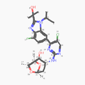 CC(C)n1c(C(C)(C)O)nc2c(F)cc(-c3nc(N[C@@H]4C[C@@H]5O[C@H]([C@H]4O)[C@@H](C)O5)ncc3Cl)cc21